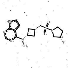 CN(c1ncnc2[nH]ccc12)[C@H]1C[C@@H](CS(=O)(=O)N2CC[C@H](F)C2)C1